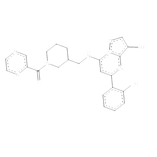 Bc1cnn2c(NCC3CCCN(C(=O)c4cnccn4)C3)cc(-c3ccccc3O)nc12